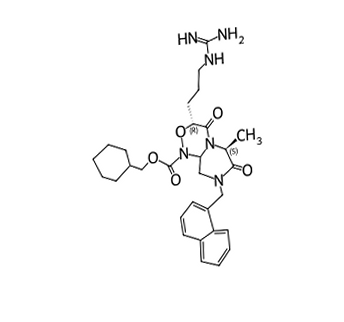 C[C@H]1C(=O)N(Cc2cccc3ccccc23)CC2N(C(=O)OCC3CCCCC3)O[C@H](CCCNC(=N)N)C(=O)N21